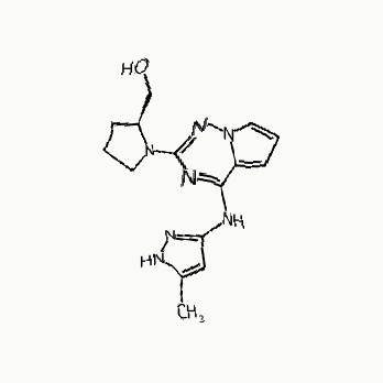 Cc1cc(Nc2nc(N3CCC[C@H]3CO)nn3cccc23)n[nH]1